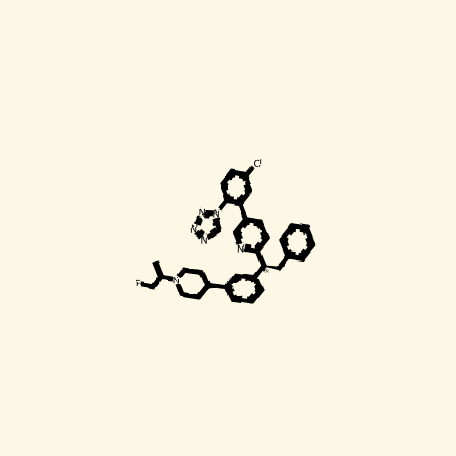 C=C(CF)N1CCC(c2cccc([C@H](Cc3ccccc3)c3ccc(-c4cc(Cl)ccc4-n4cnnn4)cn3)c2)CC1